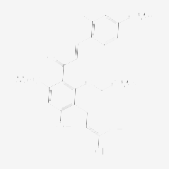 COCOc1c(CC=C(C)C)c(O)cc(OC)c1C(=O)C=Cc1ccc(OC)cc1F